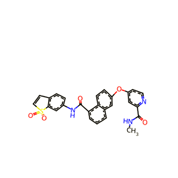 CNC(=O)c1cc(Oc2ccc3c(C(=O)Nc4ccc5c(c4)S(=O)(=O)C=C5)cccc3c2)ccn1